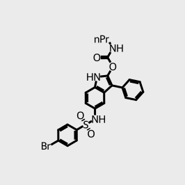 CCCNC(=O)Oc1[nH]c2ccc(NS(=O)(=O)c3ccc(Br)cc3)cc2c1-c1ccccc1